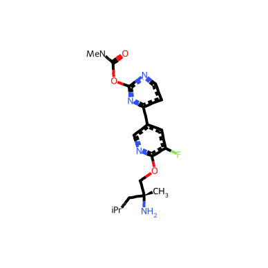 CNC(=O)Oc1nccc(-c2cnc(OC[C@](C)(N)CC(C)C)c(F)c2)n1